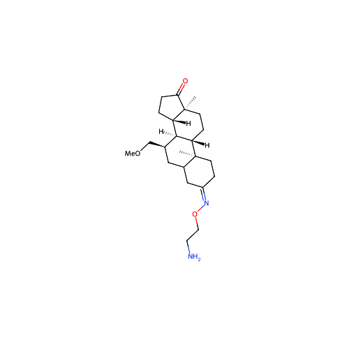 COC[C@@H]1CC2CC(=NOCCN)CC[C@]2(C)[C@H]2CC[C@]3(C)C(=O)CC[C@H]3[C@H]12